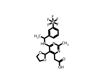 Cc1nc(CC(=O)O)c(C2OCCO2)c(NC(C)c2cccc(S(F)(F)(F)(F)F)c2)n1